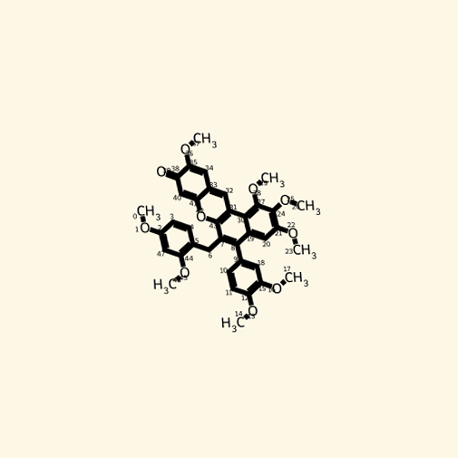 COc1ccc(Cc2c(-c3ccc(OC)c(OC)c3)c3cc(OC)c(OC)c(OC)c3c3cc4cc(OC)c(=O)cc-4oc23)c(OC)c1